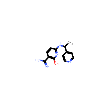 CC(Nc1ccc(C(=N)N)c(O)n1)c1ccncc1